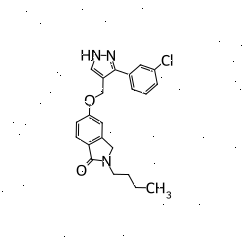 CCCCN1Cc2cc(OCc3c[nH]nc3-c3cccc(Cl)c3)ccc2C1=O